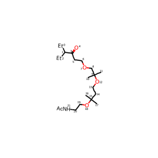 CCC(CC)C(=O)CCOCC(C)(C)OCCC(C)(C)OCCNC(C)=O